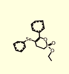 CCOP1(=O)CCC([Se]c2ccccc2)=C(c2ccccc2)O1